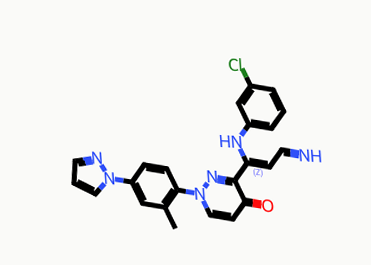 Cc1cc(-n2cccn2)ccc1-n1ccc(=O)c(/C(=C/C=N)Nc2cccc(Cl)c2)n1